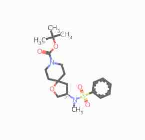 CN([C@H]1COC2(CCN(C(=O)OC(C)(C)C)CC2)C1)S(=O)(=O)c1ccccc1